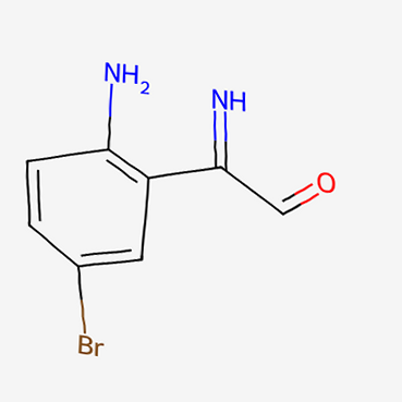 N=C(C=O)c1cc(Br)ccc1N